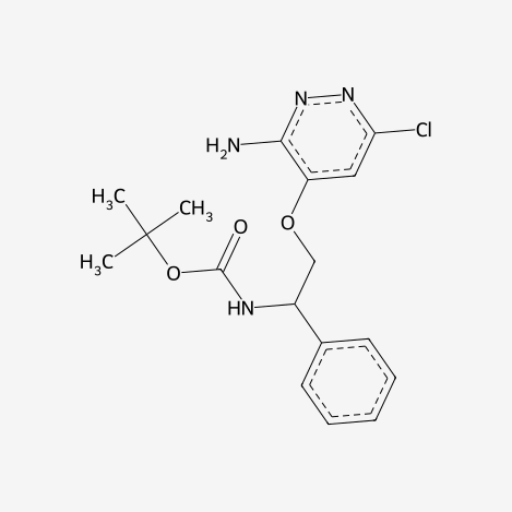 CC(C)(C)OC(=O)NC(COc1cc(Cl)nnc1N)c1ccccc1